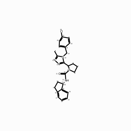 Cc1nnc(C2CCCN2C(=O)N[C@H]2CCc3ccccc32)n1Cc1ccc(Cl)cc1